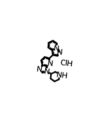 Cl.c1ccn2ncc(-c3ccc4ncn(C5CCCNC5)c4n3)c2c1